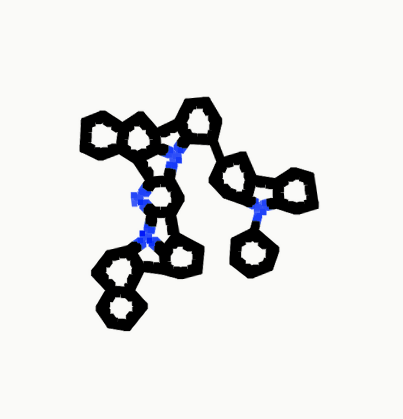 c1ccc(-n2c3ccccc3c3cc(-c4cccc5c6cc7ccccc7c7c8nc9c(cc8n(c45)c67)c4cccc5c6c7ccccc7ccc6n9c45)ccc32)cc1